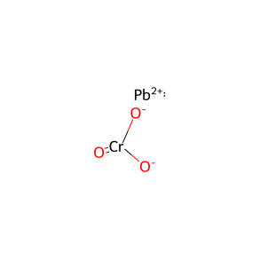 [O]=[Cr]([O-])[O-].[Pb+2]